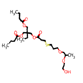 CCCC(=O)OCC(CC)(COC(=O)CCC)COC(=O)CCSCCCOCC(C)OCCO